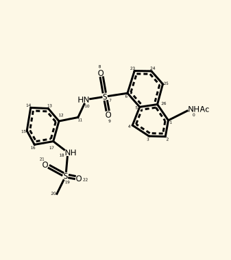 CC(=O)Nc1cccc2c(S(=O)(=O)NCc3ccccc3NS(C)(=O)=O)cccc12